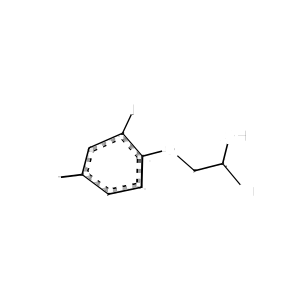 CCC(O)COc1ccc(I)cc1I